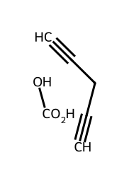 C#CCC#C.O=C(O)O